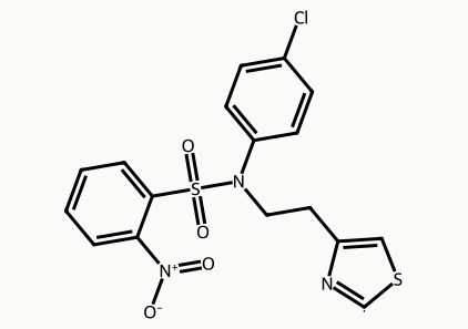 O=[N+]([O-])c1ccccc1S(=O)(=O)N(CCc1cs[c]n1)c1ccc(Cl)cc1